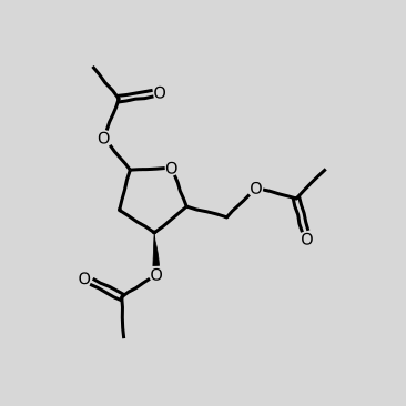 CC(=O)OCC1OC(OC(C)=O)C[C@@H]1OC(C)=O